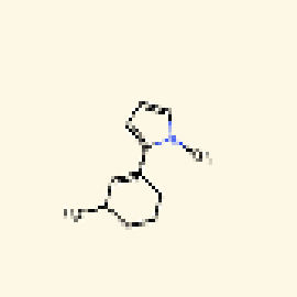 CC1C=C(c2cccn2C)CCC1